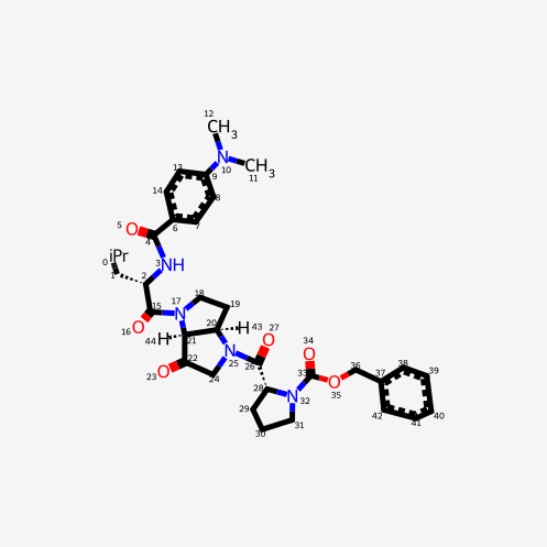 CC(C)C[C@H](NC(=O)c1ccc(N(C)C)cc1)C(=O)N1CC[C@@H]2[C@H]1C(=O)CN2C(=O)[C@H]1CCCN1C(=O)OCc1ccccc1